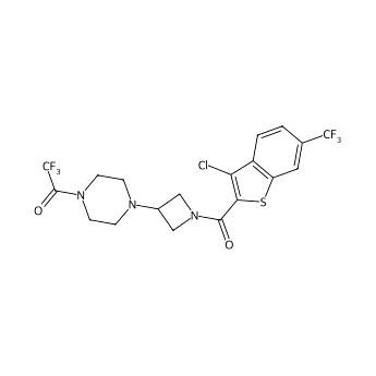 O=C(c1sc2cc(C(F)(F)F)ccc2c1Cl)N1CC(N2CCN(C(=O)C(F)(F)F)CC2)C1